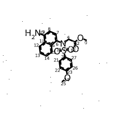 COC(=O)CN(c1ccc(N)c2ccccc12)S(=O)(=O)c1ccc(OC)cc1